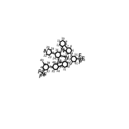 Cc1cc(-c2ccc3c4ccccc4n(-c4cc(-c5ccncc5)cc(-n5c6ccccc6c6ccc(-c7cc(C)cc(C(F)(F)F)c7)cc65)c4C#N)c3c2)cc(C(F)(F)F)c1